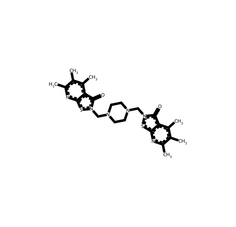 Cc1nc2sn(CN3CCN(Cn4sc5nc(C)c(C)c(C)c5c4=O)CC3)c(=O)c2c(C)c1C